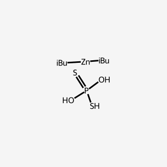 CC[CH](C)[Zn][CH](C)CC.OP(O)(=S)S